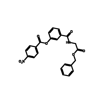 O=C(CNC(=O)c1cccc(OC(=O)c2ccc([N+](=O)[O-])cc2)c1)OCc1ccccc1